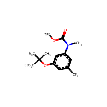 CCOC(=O)C(C)(C)Oc1cc(N(C)C(=O)OC(C)(C)C)cc(C(F)(F)F)c1